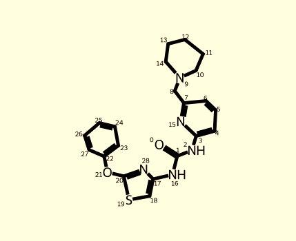 O=C(Nc1cccc(CN2CCCCC2)n1)Nc1csc(Oc2ccccc2)n1